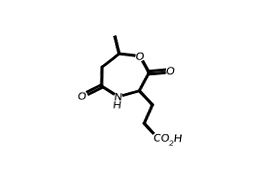 CC1CC(=O)NC(CCC(=O)O)C(=O)O1